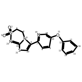 O=S1(=O)CCN2C(c3ccc(Oc4ccccc4)cn3)=CSC2=N1